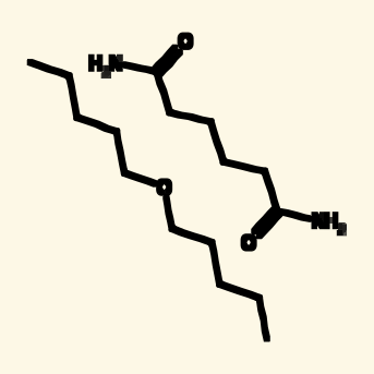 CCCCCOCCCCC.NC(=O)CCCCC(N)=O